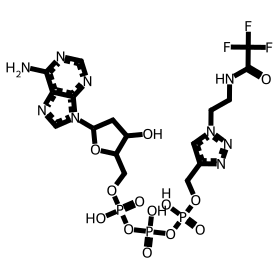 Nc1ncnc2c1ncn2C1CC(O)C(COP(=O)(O)OP(=O)(O)OP(=O)(O)OCc2cn(CCNC(=O)C(F)(F)F)nn2)O1